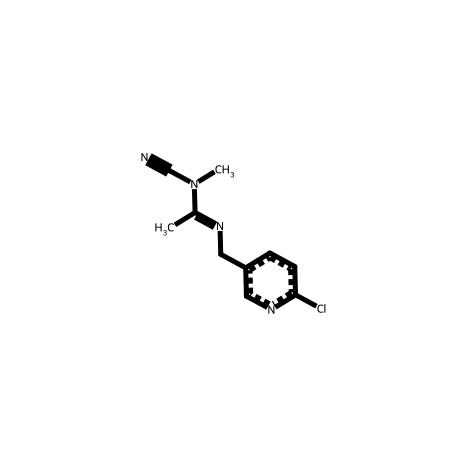 C/C(=N\Cc1ccc(Cl)nc1)N(C)C#N